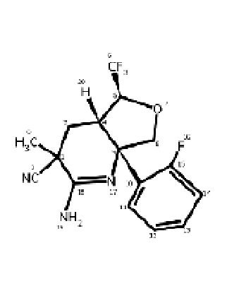 CC1(C#N)C[C@@H]2[C@@H](C(F)(F)F)OC[C@]2(c2ccccc2F)N=C1N